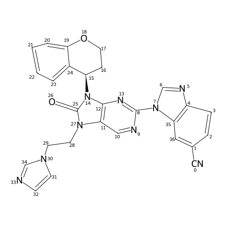 N#Cc1ccc2ncn(-c3ncc4c(n3)n([C@@H]3CCOc5ccccc53)c(=O)n4CCn3ccnc3)c2c1